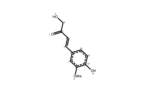 COc1cc(C=CC(=O)CO)ccc1O